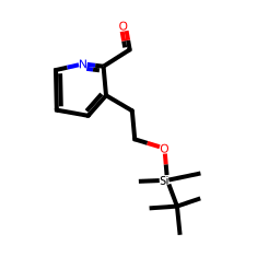 CC(C)(C)[Si](C)(C)OCCc1cccnc1C=O